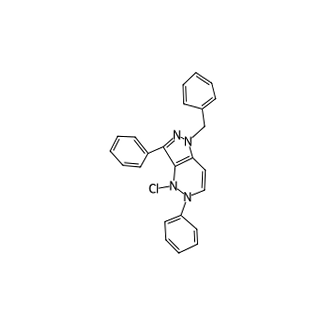 ClN1c2c(-c3ccccc3)nn(Cc3ccccc3)c2C=CN1c1ccccc1